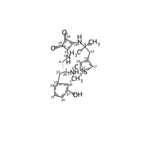 CN(C)[C@@H](CNc1c(NC(C)(C)Cc2ccsc2)c(=O)c1=O)Cc1cccc(O)c1